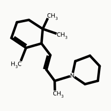 CC1=CCCC(C)(C)C1C=CC(C)N1CCCCC1